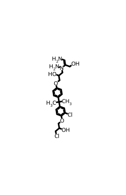 CC(C)(c1ccc(OCC(O)CN(N)/C(=C\N)CO)cc1)c1ccc(OCC(O)CCl)c(Cl)c1